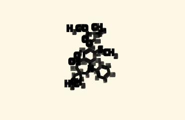 CCC1(CC)CN(c2ccccc2)c2cc(SC)c(OC[C@](C)(F)C(=O)OC)cc2S(=O)(=O)C1